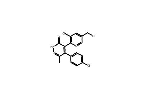 Cc1n[nH]c(=O)c(-c2ncc(CO)cc2Cl)c1-c1ccc(Cl)cc1